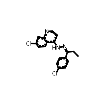 CCC(=NNc1ccnc2cc(Cl)ccc12)c1ccc(Cl)cc1